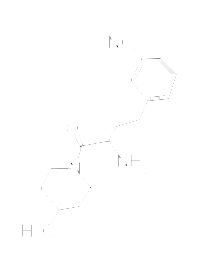 CC1CCN(C(=O)C(N)CCc2cccc(C#N)c2)CC1